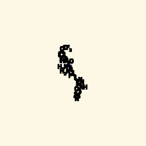 N/C(=C\N(N)CC(F)CCc1nnc(NC(=O)Cc2cncs2)s1)C(=O)NCc1cc(OC(F)(F)F)ccc1F